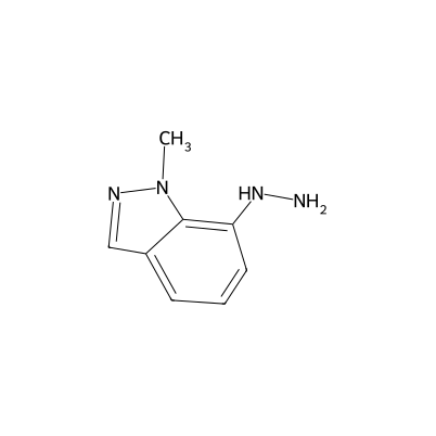 Cn1ncc2cccc(NN)c21